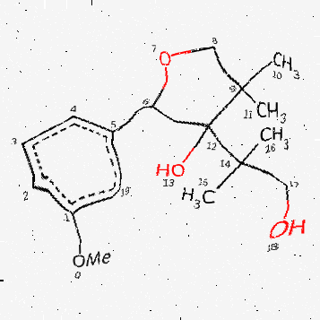 COc1cccc(C2OCC(C)(C)C2(O)C(C)(C)CO)c1